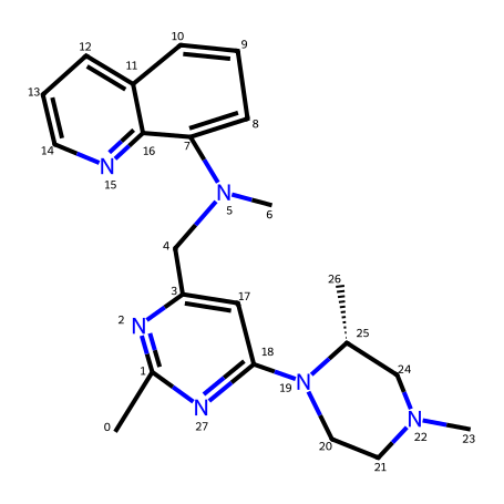 Cc1nc(CN(C)c2cccc3cccnc23)cc(N2CCN(C)C[C@H]2C)n1